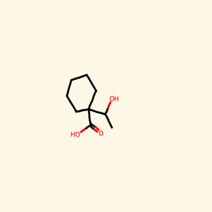 CC(O)C1(C(=O)O)CCCCC1